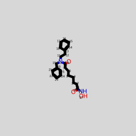 O=C(CCCCCCC(=O)N(CCc1ccccc1)Cc1ccccc1)NO